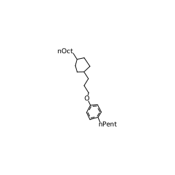 CCCCCCCCC1CCC(CCCOc2ccc(CCCCC)cc2)CC1